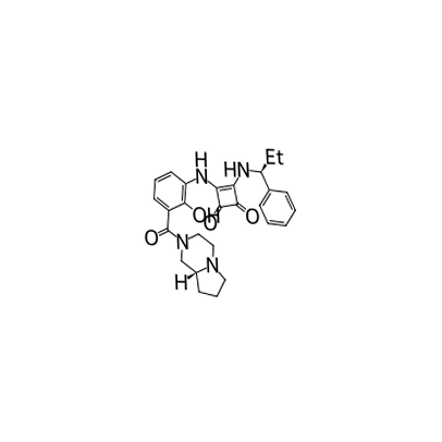 CC[C@H](Nc1c(Nc2cccc(C(=O)N3CCN4CCC[C@@H]4C3)c2O)c(=O)c1=O)c1ccccc1